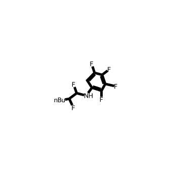 CCCCC(F)C(F)Nc1cc(F)c(F)c(F)c1F